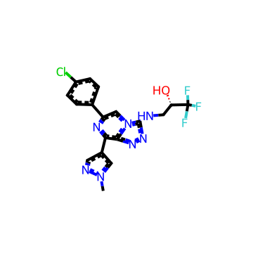 Cn1cc(-c2nc(-c3ccc(Cl)cc3)cn3c(NC[C@H](O)C(F)(F)F)nnc23)cn1